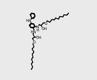 CCCCCCCCCCCOCC(O)CNc1ccc(Nc2ccccc2)cc1NCC(O)COCCCCCCCCCCC